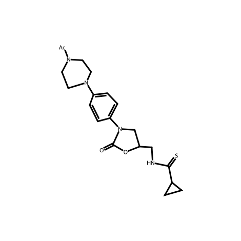 CC(=O)N1CCN(c2ccc(N3CC(CNC(=S)C4CC4)OC3=O)cc2)CC1